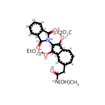 CCOC(=O)Oc1c2cccc(CC(=O)N(C)O)cc-2c(OC(=O)OCC)c1N1C(=O)c2ccccc2C1=O